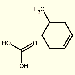 CC1CC=CCC1.O=C(O)O